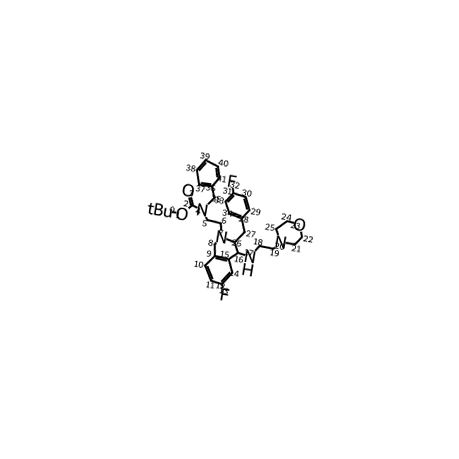 CC(C)(C)OC(=O)N(CCN1Cc2ccc(F)cc2C(NCCN2CCOCC2)C1Cc1ccc(F)cc1)Cc1ccccc1